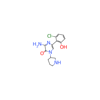 Nc1nc(-c2c(O)cccc2Cl)cn(C2CCCNC2)c1=O